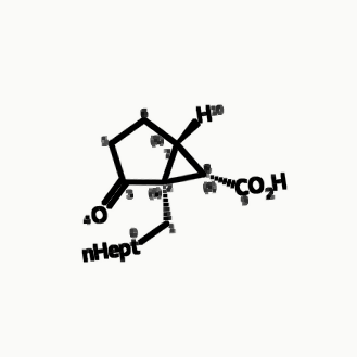 CCCCCCCC[C@]12C(=O)CC[C@@H]1[C@@H]2C(=O)O